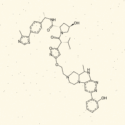 Cc1ncsc1-c1ccc([C@H](C)NC(=O)[C@@H]2C[C@@H](O)CN2C(=O)[C@@H](c2cc(OCCN3CCN4c5cc(-c6ccccc6O)nnc5NC(C)C4C3)no2)C(C)C)cc1